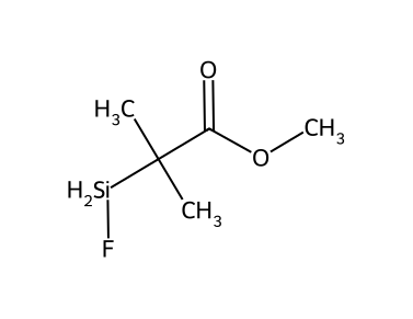 COC(=O)C(C)(C)[SiH2]F